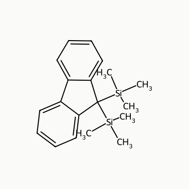 C[Si](C)(C)C1([Si](C)(C)C)c2ccccc2-c2ccccc21